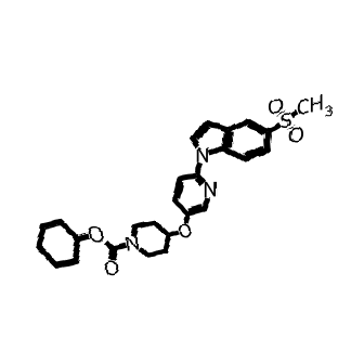 CS(=O)(=O)c1ccc2c(ccn2-c2ccc(OC3CCN(C(=O)OC4CCCCC4)CC3)cn2)c1